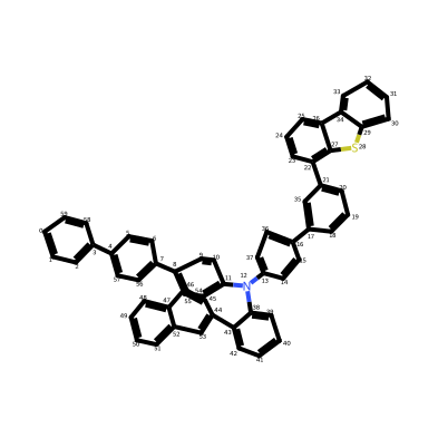 c1ccc(-c2ccc(-c3ccc(N(c4ccc(-c5cccc(-c6cccc7c6sc6ccccc67)c5)cc4)c4ccccc4-c4ccc5ccccc5c4)cc3)cc2)cc1